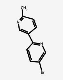 Cc1ccc(-c2ccc(Br)cn2)cn1